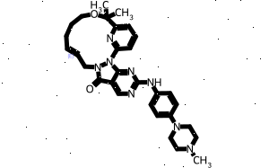 CN1CCN(c2ccc(Nc3ncc4c(=O)n5n(c4n3)-c3cccc(n3)C(C)(C)OCCC/C=C/C5)cc2)CC1